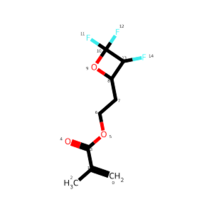 C=C(C)C(=O)OCCC1OC(F)(F)C1F